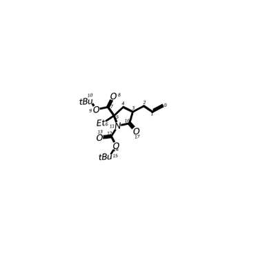 C=CCC1CC(CC)(C(=O)OC(C)(C)C)N(C(=O)OC(C)(C)C)C1=O